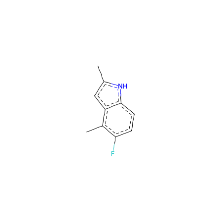 Cc1cc2c(C)c(F)ccc2[nH]1